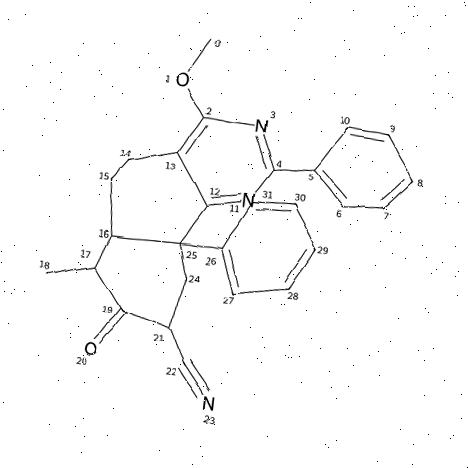 COc1nc(-c2ccccc2)nc2c1CCC1C(C)C(=O)C(C#N)CC21c1ccccc1